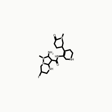 CN1CC(C2=C(NC(=O)C3C(N)N(C)N4CC(F)CNC34)CNCC2)CCC1=O